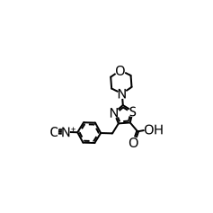 [C-]#[N+]c1ccc(Cc2nc(N3CCOCC3)sc2C(=O)O)cc1